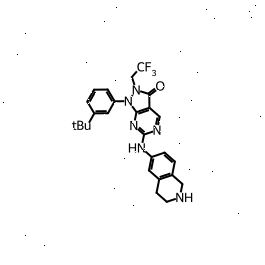 CC(C)(C)c1cccc(-n2c3nc(Nc4ccc5c(c4)CCNC5)ncc3c(=O)n2CC(F)(F)F)c1